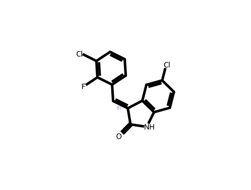 O=C1Nc2ccc(Cl)cc2/C1=C\c1cccc(Cl)c1F